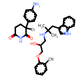 CC(C)(Cc1c[nH]c2ccccc12)NCC(O)COc1ccccc1C#N.CCC1(c2ccc(N)cc2)CCC(=O)NC1=O